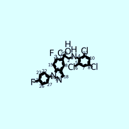 OC(CNc1c(Cl)cc(Cl)cc1Cl)(c1ccc2c(cnn2-c2ccc(F)cc2)c1)C(F)(F)F